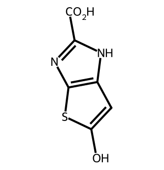 O=C(O)c1nc2sc(O)cc2[nH]1